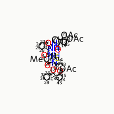 CO[C@@]1(NC(=O)C(NC(=O)N(C)C(=O)c2ccc(OC(C)=O)c(OC(C)=O)c2)c2ccccc2)C(=O)N2C(C(=O)OC(c3ccccc3)c3ccccc3)=C(COC(C)=O)CS[C@H]21